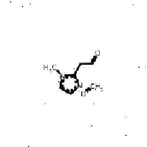 C=O.Cn1ccnc1CC=O